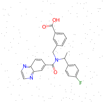 CC(c1ccc(F)cc1)N(Cc1cccc(C(=O)O)c1)C(=O)c1ccc2nccnc2c1